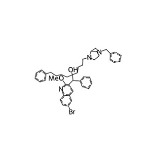 COc1nc2ccc(Br)cc2cc1C(c1ccccc1)C(O)(CCCCc1ccccc1)CCCCN1CC2CC1CN2Cc1ccccc1